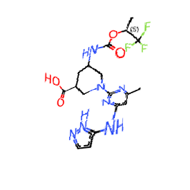 Cc1cc(Nc2ccn[nH]2)nc(N2CC(NC(=O)O[C@@H](C)C(F)(F)F)CC(C(=O)O)C2)n1